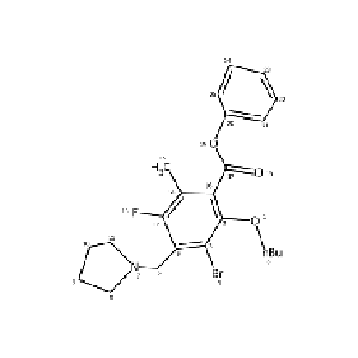 CCCCOc1c(Br)c(CN2CCCC2)c(F)c(C)c1C(=O)Oc1ccccc1